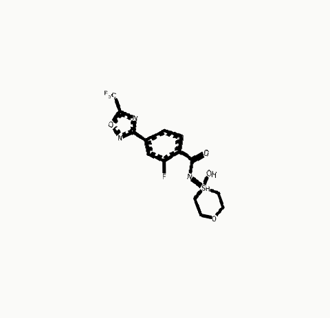 O=C(N=[SH]1(O)CCOCC1)c1ccc(-c2noc(C(F)(F)F)n2)cc1F